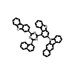 c1ccc2cc3c(cc2c1)c1ccccc1n3-c1cc(-c2nc(-c3ccc4c(c3)oc3ccccc34)nc(-c3cccc4ccccc34)n2)c2c(c1)sc1ccccc12